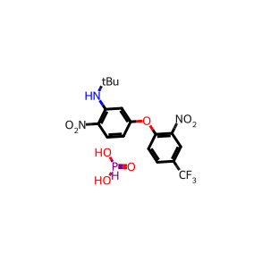 CC(C)(C)Nc1cc(Oc2ccc(C(F)(F)F)cc2[N+](=O)[O-])ccc1[N+](=O)[O-].O=[PH](O)O